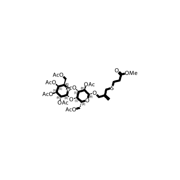 C=C(CO[C@@H]1O[C@H](COC(C)=O)[C@H](O[C@H]2O[C@H](COC(C)=O)[C@H](OC(C)=O)[C@H](OC(C)=O)[C@H]2OC(C)=O)[C@H](OC(C)=O)[C@H]1OC(C)=O)CSCCC(=O)OC